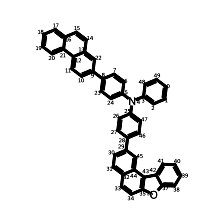 c1ccc(N(c2ccc(-c3ccc4c(ccc5ccccc54)c3)cc2)c2ccc(-c3ccc4ccc5oc6ccccc6c5c4c3)cc2)cc1